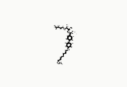 CCCCCCCCOc1ccc(-c2ccc(C(C)OC(=O)C(C)OCCCCC)cc2)cc1